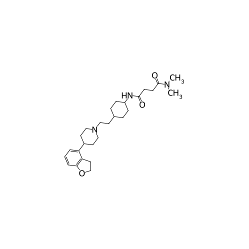 CN(C)C(=O)CCC(=O)NC1CCC(CCN2CCC(c3cccc4c3CCO4)CC2)CC1